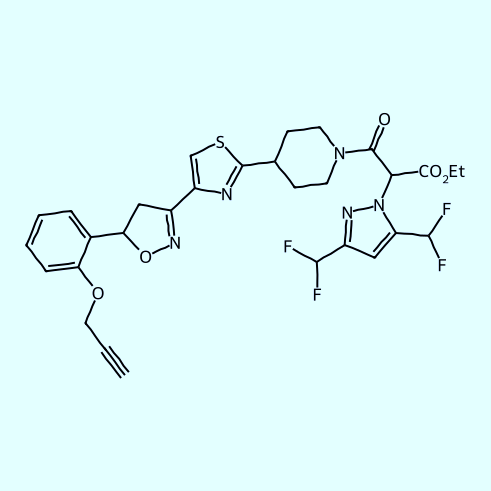 C#CCOc1ccccc1C1CC(c2csc(C3CCN(C(=O)C(C(=O)OCC)n4nc(C(F)F)cc4C(F)F)CC3)n2)=NO1